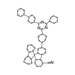 N#Cc1cccc2c1-c1ccc(-c3ccc(-c4nc(-c5ccccc5)nc(-c5ccc(-c6ccccc6)cc5)n4)cc3)cc1C21c2ccccc2-c2ccccc21